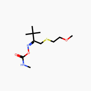 CNC(=O)ON=C(CSCCOC)C(C)(C)C